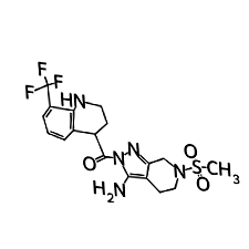 CS(=O)(=O)N1CCc2c(nn(C(=O)C3CCNc4c3cccc4C(F)(F)F)c2N)C1